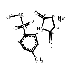 Cc1ccc(S(=O)(=O)[N-]Cl)cc1.O=C1CCC(=O)N1.[Na+]